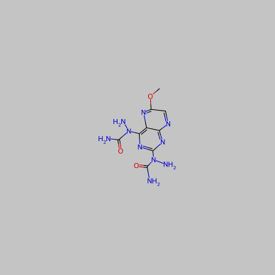 COc1cnc2nc(N(N)C(N)=O)nc(N(N)C(N)=O)c2n1